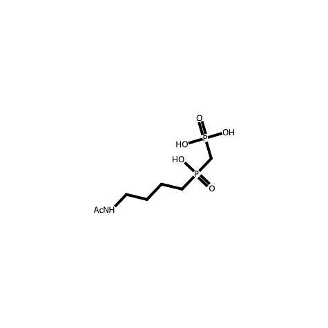 CC(=O)NCCCCP(=O)(O)CP(=O)(O)O